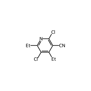 CCc1nc(Cl)c(C#N)c(CC)c1Cl